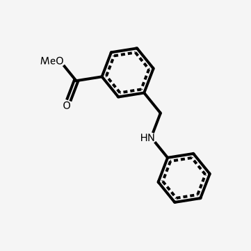 COC(=O)c1cccc(CNc2ccccc2)c1